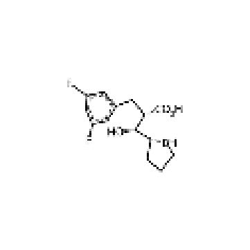 O=C(O)[C@@H](Cc1cc(F)cc(F)c1)[C@H](O)[C@@H]1BCCC1